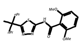 CCCC(C)(CCC)c1nnc(NC(=O)c2c(OC)cccc2OC)s1